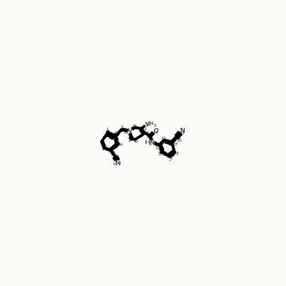 N#Cc1cccc(CN2CCC(C(=O)Nc3cccc(C#N)c3)=C(N)C2)c1